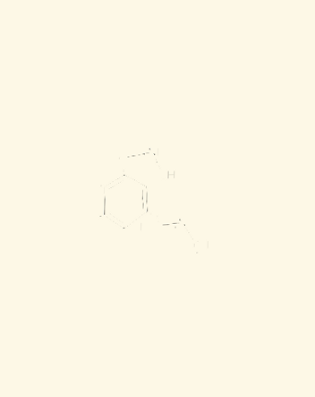 CNC.CNC.c1ccccc1